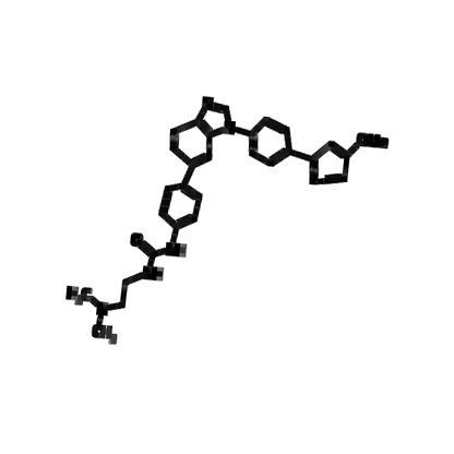 COc1cccc(-c2ccc(-n3cnc4ccc(-c5ccc(NC(=O)NCCN(C)C)cc5)cc43)cc2)c1